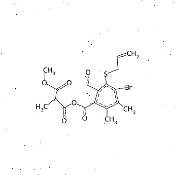 C=CCSc1c(Br)c(C)c(C)c(C(=O)OC(=O)C(C)C(=O)OC)c1C=O